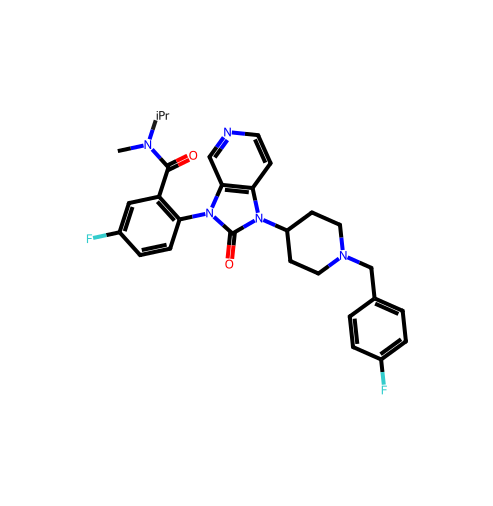 CC(C)N(C)C(=O)c1cc(F)ccc1-n1c(=O)n(C2CCN(Cc3ccc(F)cc3)CC2)c2ccncc21